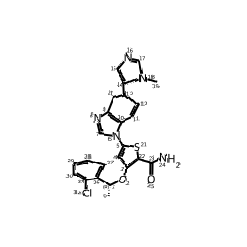 C[C@@H](Oc1cc(-n2cnc3c2C=CC(c2cncn2C)C3)sc1C(N)=O)c1ccccc1Cl